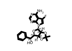 CC1(C)O[C@H]2[C@@H](O1)[C@H](n1cc(F)c3c(N)ncnc31)O[C@@H]2[C@H](O)c1ccccc1